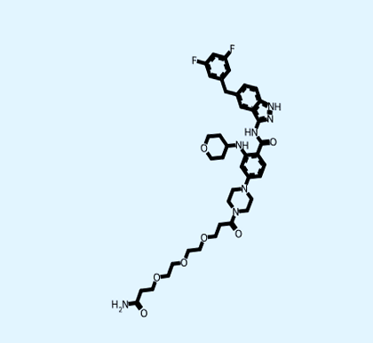 NC(=O)CCOCCOCCOCCC(=O)N1CCN(c2ccc(C(=O)Nc3n[nH]c4ccc(Cc5cc(F)cc(F)c5)cc34)c(NC3CCOCC3)c2)CC1